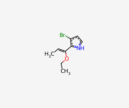 CC=C(OCC)c1[nH]ccc1Br